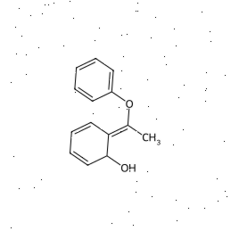 CC(Oc1ccccc1)=C1C=CC=CC1O